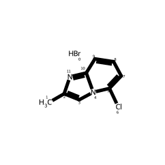 Br.Cc1cn2c(Cl)cccc2n1